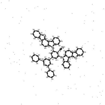 N#Cc1c(-n2c3ccccc3c3c4oc5ccccc5c4ccc32)cc(-c2cc(-c3ccccc3)nc(-c3ccccc3)c2)cc1-n1c2ccccc2c2c3oc4ccccc4c3ccc21